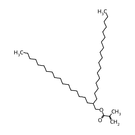 C=C(C)C(=O)OCC(CCCCCCCCCCCCCCCCC)CCCCCCCCCCCCCCCCCC